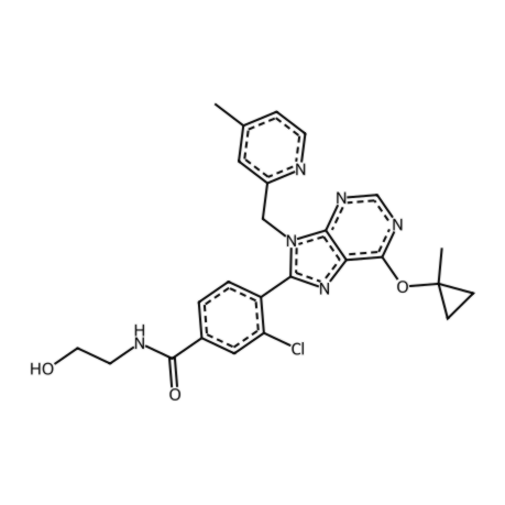 Cc1ccnc(Cn2c(-c3ccc(C(=O)NCCO)cc3Cl)nc3c(OC4(C)CC4)ncnc32)c1